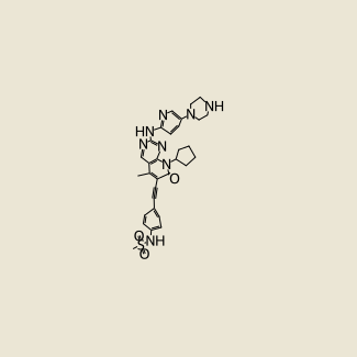 Cc1c(C#Cc2ccc(NS(C)(=O)=O)cc2)c(=O)n(C2CCCC2)c2nc(Nc3ccc(N4CCNCC4)cn3)ncc12